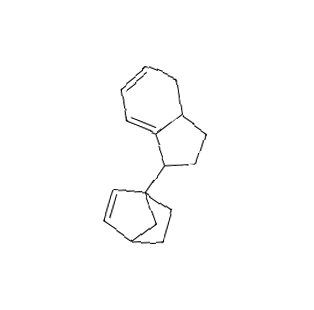 C1=CCC2CCC(C34C=CC(CC3)C4)C2=C1